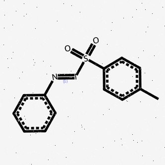 Cc1ccc(S(=O)(=O)/I=N/c2ccccc2)cc1